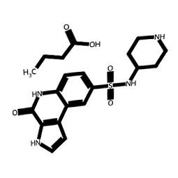 CCCC(=O)O.O=c1[nH]c2ccc(S(=O)(=O)NC3CCNCC3)cc2c2cc[nH]c12